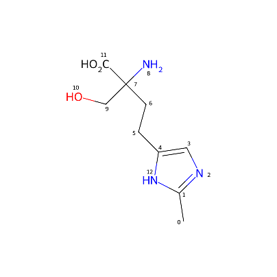 Cc1ncc(CCC(N)(CO)C(=O)O)[nH]1